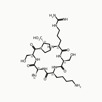 CC[C@H](C)[C@H](NC(=O)[C@H](CCCCN)NC(=O)[C@H](CO)NC(=O)[C@@H](N)CCCNC(=N)N)C(=O)N[C@@H](CO)C(=O)N1CCC[C@H]1C(=O)O